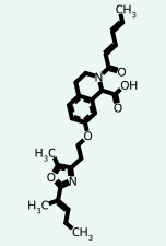 CC=CC=CC(=O)N1CCc2ccc(OCCc3nc(C(C)=CCC)oc3C)cc2C1C(=O)O